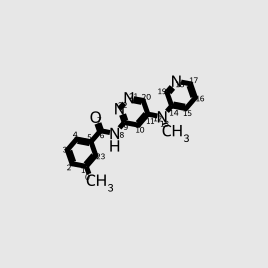 Cc1cccc(C(=O)Nc2cc(N(C)c3cccnc3)cnn2)c1